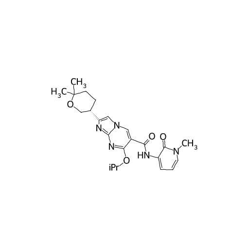 CC(C)Oc1nc2nc([C@H]3CCC(C)(C)OC3)cn2cc1C(=O)Nc1cccn(C)c1=O